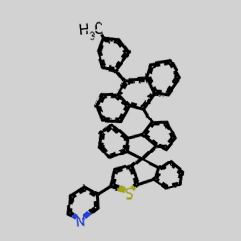 Cc1ccc(-c2c3ccccc3c(-c3cccc4c3-c3ccccc3C43c4ccccc4-c4sc(-c5cccnc5)cc43)c3ccccc23)cc1